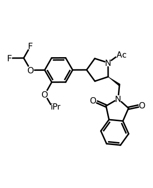 CC(=O)N1CC(c2ccc(OC(F)F)c(OC(C)C)c2)C[C@@H]1CN1C(=O)c2ccccc2C1=O